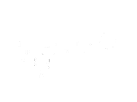 CCS(=O)(=O)c1cc(=O)nc2n1C[C@@](C)(COc1ccc(C3CCCCC3)cc1)O2